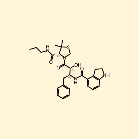 CCCNC(=O)[C@H]1N(C(=O)[C@@H](O)[C@H](Cc2ccccc2)NC(=O)c2cccc3c2CCN3)CSC1(C)C